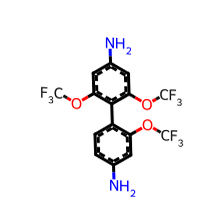 Nc1ccc(-c2c(OC(F)(F)F)cc(N)cc2OC(F)(F)F)c(OC(F)(F)F)c1